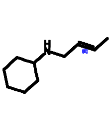 C/C=C/CNC1CCCCC1